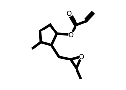 C=CC(=O)OC1CCC(C)C1CC1OC1C